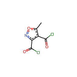 Cc1onc(C(=O)Cl)c1C(=O)Cl